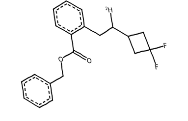 [2H]C(Cc1ccccc1C(=O)OCc1ccccc1)C1CC(F)(F)C1